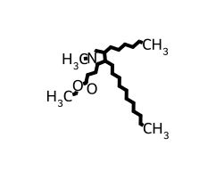 CCCCCCCCCCCC1C(CCCCCC)CN(C)C1CCC(=O)OCC